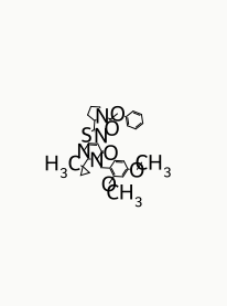 COc1ccc(Cn2c(C3(C)CC3)nc3sc(C4CCCN4C(=O)Oc4ccccc4)nc3c2=O)c(OC)c1